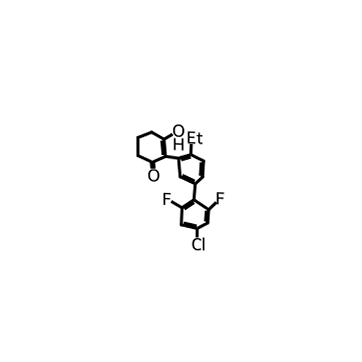 CCc1ccc(-c2c(F)cc(Cl)cc2F)cc1C1=C(O)CCCC1=O